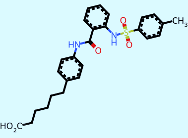 Cc1ccc(S(=O)(=O)Nc2ccccc2C(=O)Nc2ccc(CCCCCC(=O)O)cc2)cc1